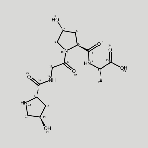 C[C@H](NC(=O)[C@@H]1C[C@@H](O)CN1C(=O)CNC(=O)[C@@H]1C[C@@H](O)CN1)C(=O)O